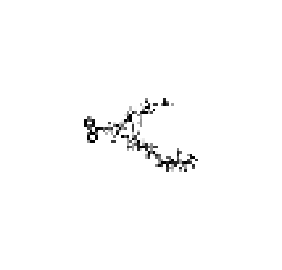 CCOC(=O)c1nc(NC(=O)c2cc(NC(=O)[C@H](CCNC(=O)c3nc(NC(=O)CCNC(=O)c4cc(NC(=O)c5nccn5C)cn4C)cn3C)NC(=O)OCC3c4ccccc4-c4ccccc43)cn2C)cn1C